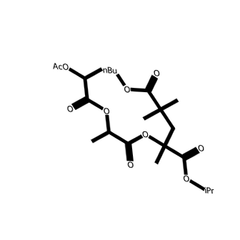 CCCCOC(=O)C(C)(C)CC(C)(OC(=O)C(C)OC(=O)C(C)OC(C)=O)C(=O)OC(C)C